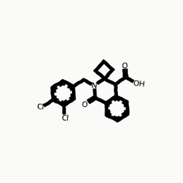 O=C(O)C1c2ccccc2C(=O)N(Cc2ccc(Cl)c(Cl)c2)C12CCC2